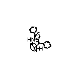 c1ccc(CN[C@@H]2C3CCN(CC3)[C@H]2C(c2ccccc2)c2ccsc2)cc1